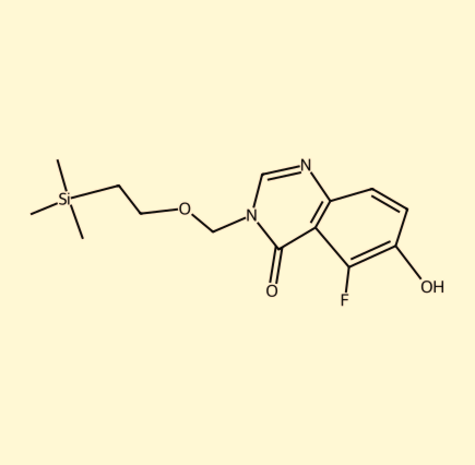 C[Si](C)(C)CCOCn1cnc2ccc(O)c(F)c2c1=O